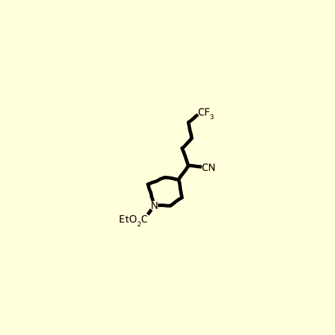 CCOC(=O)N1CCC(C(C#N)CCCC(F)(F)F)CC1